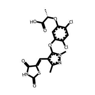 Cc1nn(C)c(Oc2cc(O[C@@H](C)C(=O)O)c(Cl)cc2Cl)c1C=C1SC(=O)NC1=O